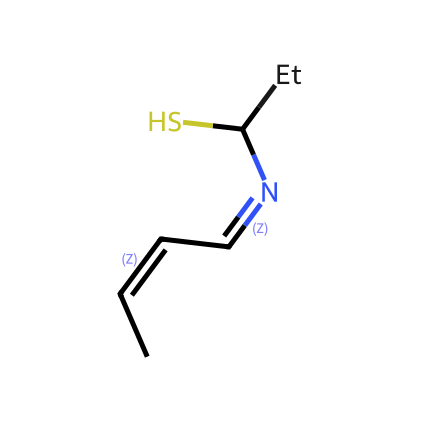 C/C=C\C=N/C(S)CC